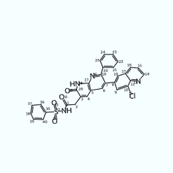 O=C(Cc1cc2cc(-c3cc(Cl)c4ncccc4c3)c(-c3ccccc3)nc2[nH]c1=O)NS(=O)(=O)c1ccccc1